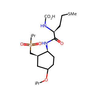 CSCC[C@H](NC(=O)O)C(=O)N[C@H]1CCC(OC(C)C)C[C@H]1CS(=O)(=O)C(C)C